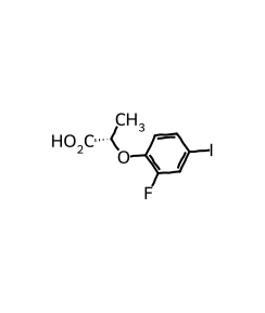 C[C@H](Oc1ccc(I)cc1F)C(=O)O